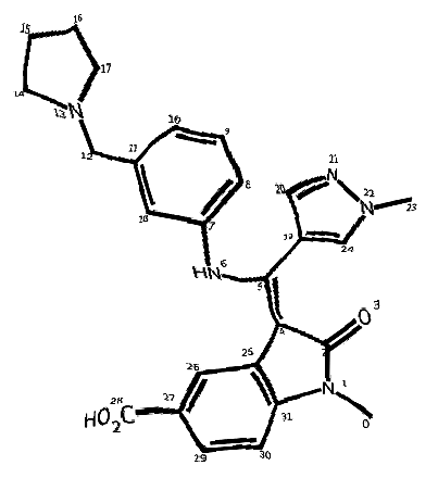 CN1C(=O)C(=C(Nc2cccc(CN3CCCC3)c2)c2cnn(C)c2)c2cc(C(=O)O)ccc21